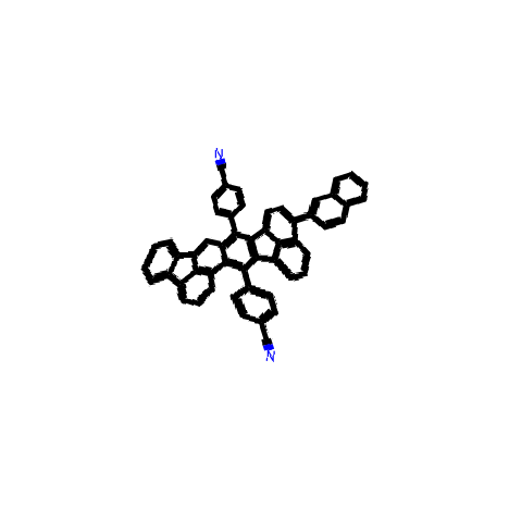 N#Cc1ccc(-c2c3cc4c5ccccc5c5cccc(c3c(-c3ccc(C#N)cc3)c3c6cccc7c(-c8ccc9ccccc9c8)ccc(c23)c76)c54)cc1